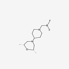 C[C@@H]1CN(C2CCN(CB(F)F)CC2)C[C@H](C)O1